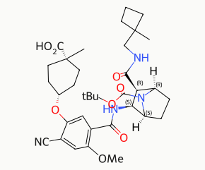 COc1cc(C#N)c(O[C@H]2CC[C@@](C)(C(=O)O)CC2)cc1C(=O)N[C@H]1[C@@H](C(=O)NCC2(C)CCC2)[C@H]2CC[C@@H]1N2C(=O)OC(C)(C)C